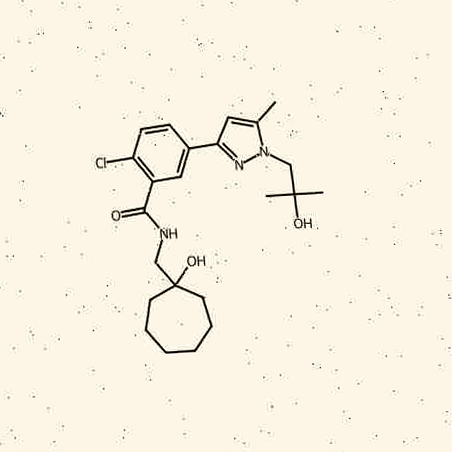 Cc1cc(-c2ccc(Cl)c(C(=O)NCC3(O)CCCCCC3)c2)nn1CC(C)(C)O